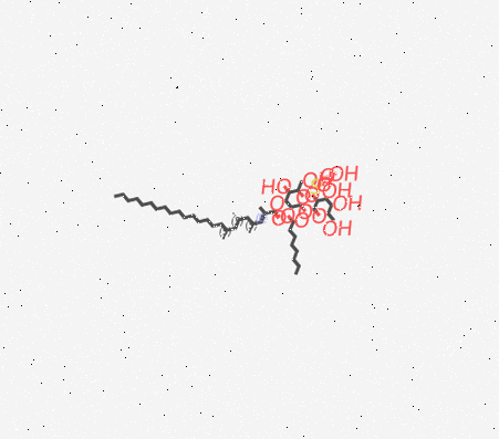 CCCCCCCCCCCCCCCC[C@H](C)C[C@H](C)C[C@H](C)/C=C(\C)C(=O)OC1C(O)C(CO)OC(OC2OC(CO)C(O)C(O)C2OSOOO)C1OC(=O)CCCCCCC